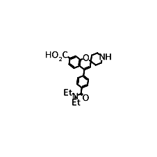 CCN(CC)C(=O)c1ccc(C2=CC3(CCNCC3)Oc3cc(C(=O)O)ccc32)cc1